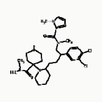 CN(C)C(=O)C1(N2CCCCC2CCC(CN(C)C(=O)c2cccn2C)c2ccc(Cl)c(Cl)c2)CCNCC1